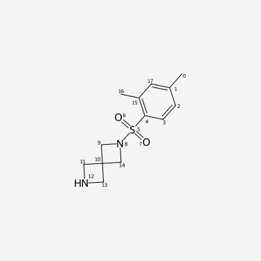 Cc1ccc(S(=O)(=O)N2CC3(CNC3)C2)c(C)c1